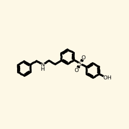 O=S(=O)(c1ccc(O)cc1)c1cccc(CCNCc2ccccc2)c1